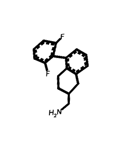 NCC1CCc2c(cccc2-c2c(F)cccc2F)C1